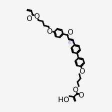 C=CC(=O)OCCCCOc1ccc(C(=O)/C=C/c2ccc(-c3ccc(OCCCCOC(=O)C(=C)CO)cc3)cc2)cc1